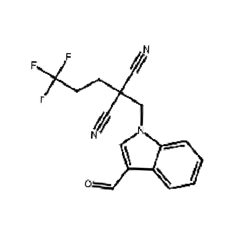 N#CC(C#N)(CCC(F)(F)F)Cn1cc(C=O)c2ccccc21